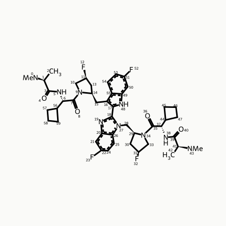 CN[C@@H](C)C(=O)N[C@H](C(=O)N1C[C@@H](F)C[C@H]1Cc1c(-c2nc3cc(F)ccc3n2C[C@@H]2C[C@H](F)CN2C(=O)[C@@H](NC(=O)[C@H](C)NC)C2CCC2)[nH]c2cc(F)ccc12)C1CCC1